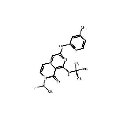 Cc1ccnc(Nc2cc3ccn(C(C)C)c(=O)c3c(NC(C)(C)C)n2)c1